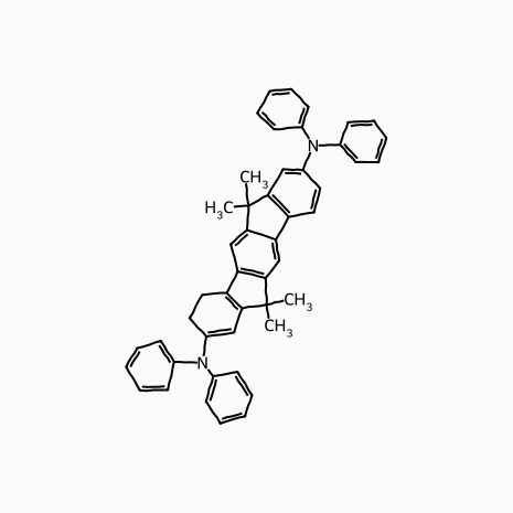 CC1(C)C2=C(CCC(N(c3ccccc3)c3ccccc3)=C2)c2cc3c(cc21)-c1ccc(N(c2ccccc2)c2ccccc2)cc1C3(C)C